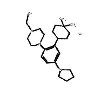 CC(C)CN1CCN(c2ccc(N3CCCC3)cc2C2CCC(C)(C)CC2)CC1.Cl